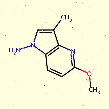 COc1ccc2c(n1)c(C)cn2N